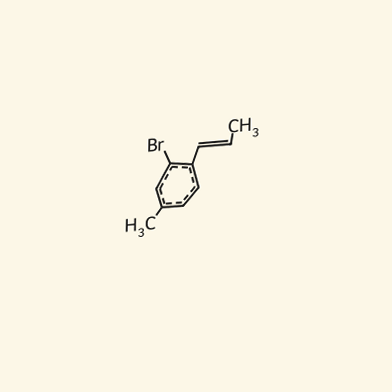 C/C=C/c1ccc(C)cc1Br